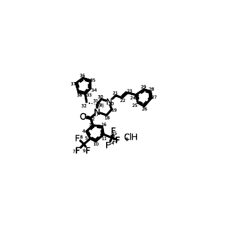 Cl.O=C(c1cc(C(F)(F)F)cc(C(F)(F)F)c1)N1CCN(CC=Cc2ccccc2)C[C@H]1Cc1ccccc1